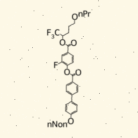 CCCCCCCCCOc1ccc(-c2ccc(C(=O)Oc3ccc(C(=O)OC(CCCOCCC)C(F)(F)F)cc3F)cc2)cc1